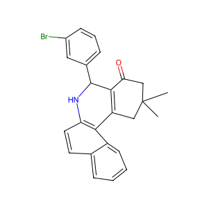 CC1(C)CC(=O)C2=C(C1)c1c(ccc3ccccc13)NC2c1cccc(Br)c1